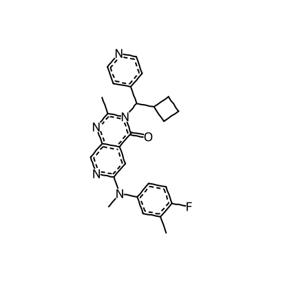 Cc1cc(N(C)c2cc3c(=O)n(C(c4ccncc4)C4CCC4)c(C)nc3cn2)ccc1F